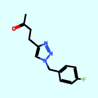 CC(=O)CCc1cn(Cc2ccc(F)cc2)nn1